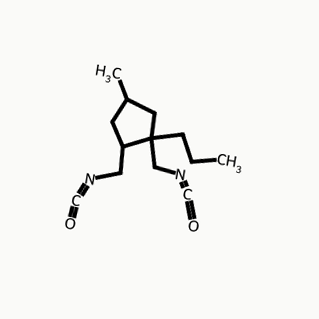 CCCC1(CN=C=O)CC(C)CC1CN=C=O